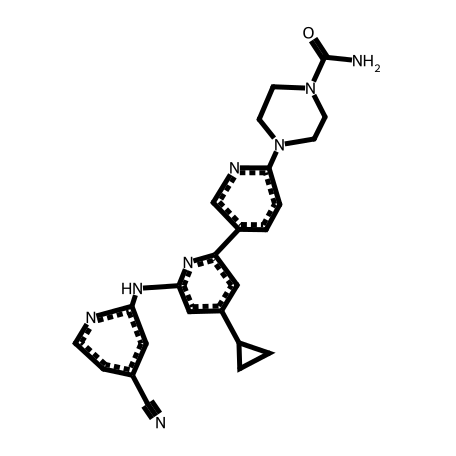 N#Cc1ccnc(Nc2cc(C3CC3)cc(-c3ccc(N4CCN(C(N)=O)CC4)nc3)n2)c1